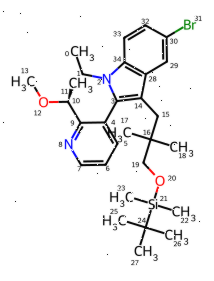 CCn1c(-c2cccnc2[C@H](C)OC)c(CC(C)(C)CO[Si](C)(C)C(C)(C)C)c2cc(Br)ccc21